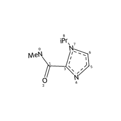 CNC(=O)c1nccn1C(C)C